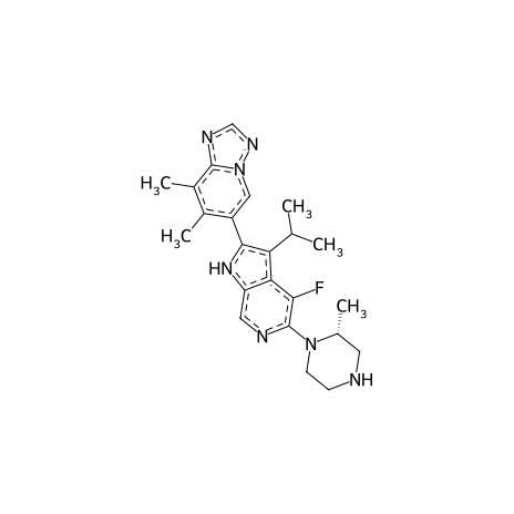 Cc1c(-c2[nH]c3cnc(N4CCNC[C@H]4C)c(F)c3c2C(C)C)cn2ncnc2c1C